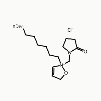 CCCCCCCCCCCCCCCC[N+]1(CN2CCCC2=O)C=CCO1.[Cl-]